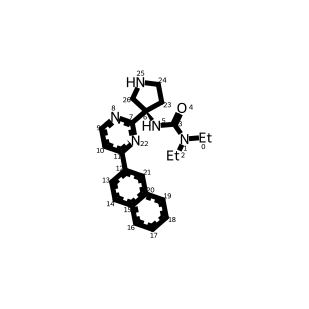 CCN(CC)C(=O)N[C@]1(c2nccc(-c3ccc4ccccc4c3)n2)CCNC1